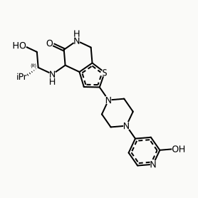 CC(C)[C@H](CO)NC1C(=O)NCc2sc(N3CCN(c4ccnc(O)c4)CC3)cc21